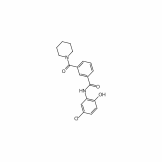 O=C(Nc1cc(Cl)ccc1O)c1cccc(C(=O)N2CCCCC2)c1